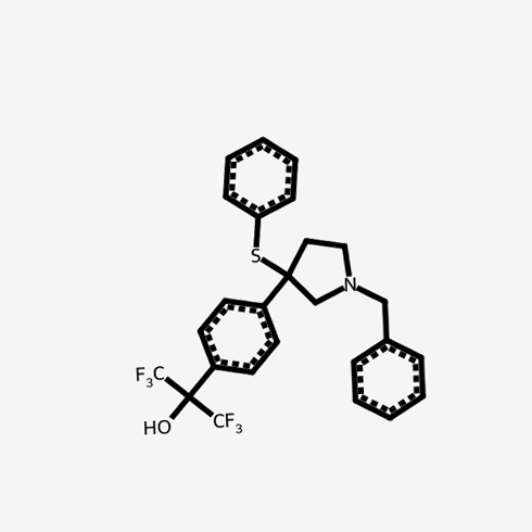 OC(c1ccc(C2(Sc3ccccc3)CCN(Cc3ccccc3)C2)cc1)(C(F)(F)F)C(F)(F)F